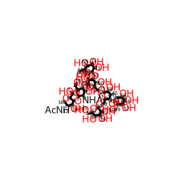 CC(=O)NC1[C@H](O[C@@H]2C(CO)O[C@@H](C)C(NC(C)=O)[C@H]2O)OC(CO)[C@@H](O[C@@H]2OC(CO[C@H]3OC(CO[C@H]4OC(CO)[C@@H](O)[C@H](O)C4O)[C@@H](O)[C@H](C[C@H]4O[C@@H](CO)[C@@H](O)C(O)C4O)C3O)[C@@H](O)[C@H](O[C@H]3O[C@@H](CO)[C@@H](O)C(O)C3O)C2O)[C@@H]1O